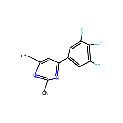 CCCc1cc(-c2cc(F)c(F)c(F)c2)nc(C#N)n1